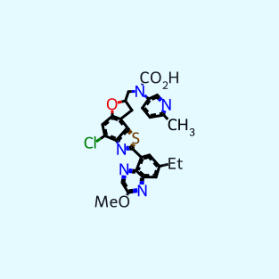 CCc1cc(-c2nc3c(Cl)cc4c(c3s2)CC(CN(C(=O)O)c2ccc(C)nc2)O4)c2ncc(OC)nc2c1